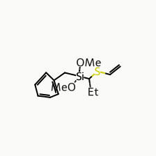 C=CSC(CC)[Si](Cc1ccccc1)(OC)OC